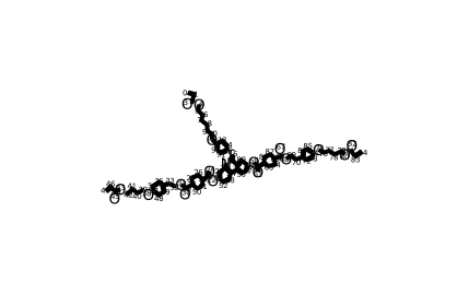 C=CC(=O)OCCCCCCOc1ccc(Sc2nc3cc(OC(=O)C4CCC(C(=O)OCCc5ccc(OCCCCOC(=O)C=C)cc5)CC4)ccc3c3ccc(OC(=O)C4CCC(C(=O)OCCc5ccc(OCCCCOC(=O)C=C)cc5)CC4)cc23)cc1